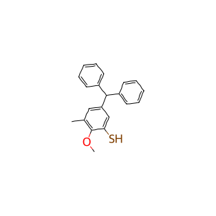 COc1c(C)cc(C(c2ccccc2)c2ccccc2)cc1S